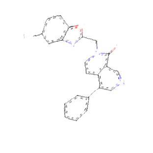 Cc1ccc2oc(Cn3ccc4c(-c5ccccc5)cncc4c3=O)nc2c1